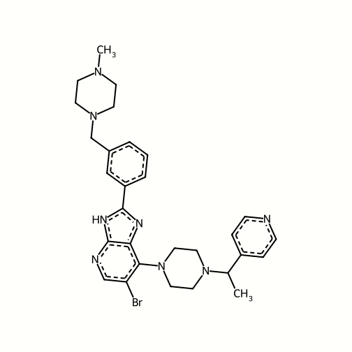 CC(c1ccncc1)N1CCN(c2c(Br)cnc3[nH]c(-c4cccc(CN5CCN(C)CC5)c4)nc23)CC1